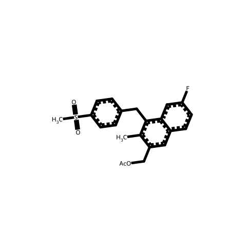 CC(=O)OCc1cc2ccc(F)cc2c(Cc2ccc(S(C)(=O)=O)cc2)c1C